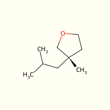 CC(C)C[C@@]1(C)CCOC1